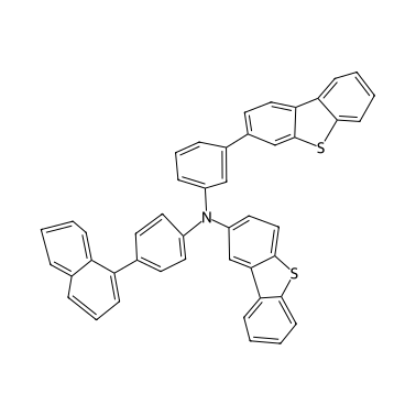 c1cc(-c2ccc3c(c2)sc2ccccc23)cc(N(c2ccc(-c3cccc4ccccc34)cc2)c2ccc3sc4ccccc4c3c2)c1